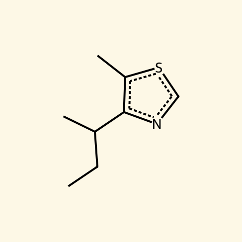 CCC(C)c1ncsc1C